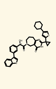 O=C([C@H](O)c1cccc(-c2csc3ccccc23)c1)N1CCCc2nc(C3(c4cc(C5CCCCC5)cs4)CC3)[nH]c(=O)c2C1